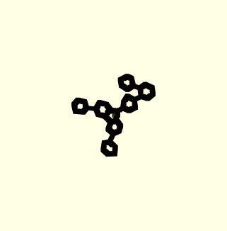 c1ccc(-c2ccc3c(c2)c2cc(-c4ccccc4)ccc2n3-c2ccc(-c3ccccc3-c3ccccc3)cc2)cc1